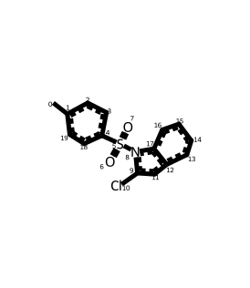 Cc1ccc(S(=O)(=O)n2c(Cl)cc3ccccc32)cc1